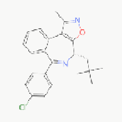 Cc1noc2c1-c1ccccc1C(c1ccc(Cl)cc1)=N[C@H]2CC(C)(C)C